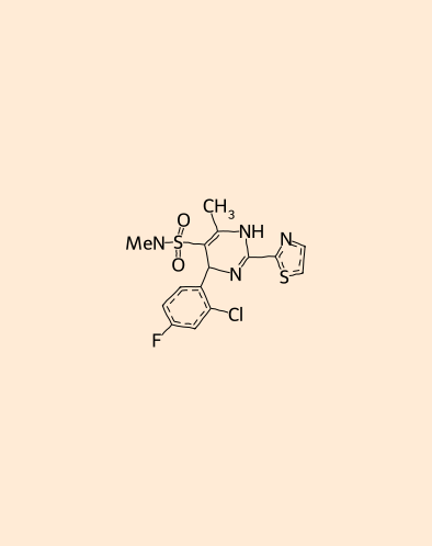 CNS(=O)(=O)C1=C(C)NC(c2nccs2)=NC1c1ccc(F)cc1Cl